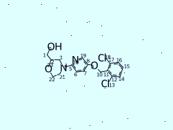 OCC1CN(c2ccc(OCc3c(Cl)cccc3Cl)cn2)CCO1